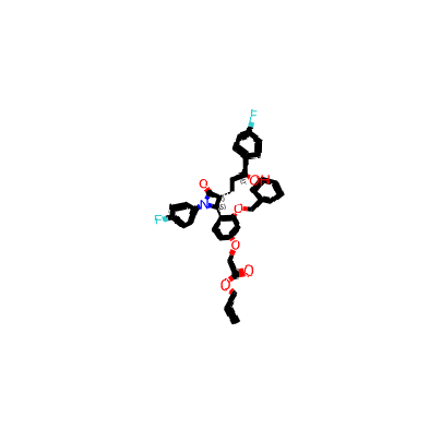 C=CCOC(=O)COc1ccc([C@@H]2[C@@H](CC[C@H](O)c3ccc(F)cc3)C(=O)N2c2ccc(F)cc2)c(OCc2ccccc2)c1